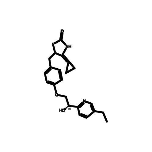 CCc1ccc([C@H](O)COc2ccc(CC3SC(=O)NC3=C3CC3)cc2)nc1